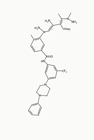 C=CC(/C(N)=C/N(N)c1cc(C(=O)Nc2cc(N3CCN(c4ccccc4)CC3)cc(C(F)(F)F)c2)ccc1C)=C(/C)N(C)N